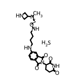 CN(SONCCCCNc1ccc2c(c1)C(=O)N(C1CCC(=O)NC1=O)C2=O)C1CNC1.S